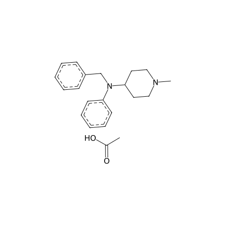 CC(=O)O.CN1CCC(N(Cc2ccccc2)c2ccccc2)CC1